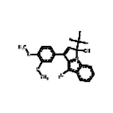 COc1ccc(C2=CC(O)(C(F)(F)F)n3c2c(C)c2ccccc23)cc1OC